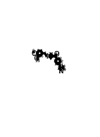 COc1ccc(CCN2CC(C(=O)c3ccc(-n4ccnc4)cc3)C2)cc1OC